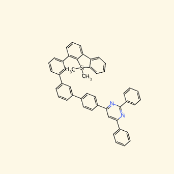 C[Si]1(C)c2ccccc2-c2cccc(-c3cccc(-c4cccc(-c5ccc(-c6cc(-c7ccccc7)nc(-c7ccccc7)n6)cc5)c4)c3)c21